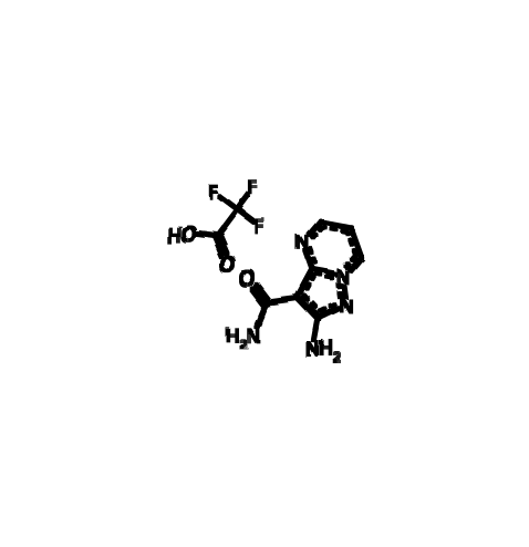 NC(=O)c1c(N)nn2cccnc12.O=C(O)C(F)(F)F